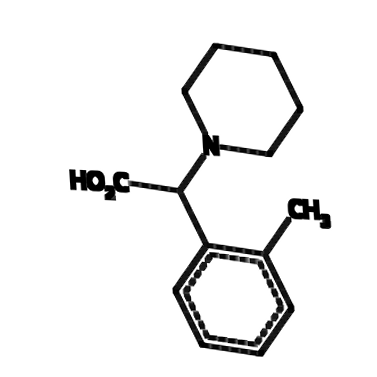 Cc1ccccc1C(C(=O)O)N1CCCCC1